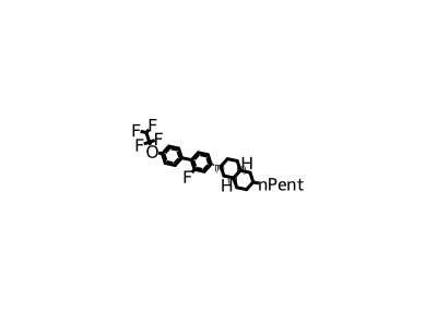 CCCCCC1CC[C@@H]2C[C@H](c3ccc(-c4ccc(OC(F)(F)C(F)F)cc4)c(F)c3)CC[C@@H]2C1